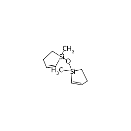 C[Si]1(O[Si]2(C)C=CCC2)C=CCC1